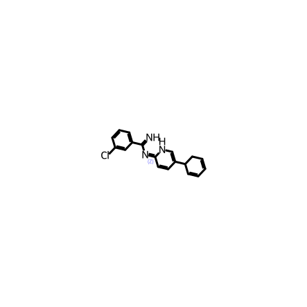 N=C(/N=c1/ccc(C2C=CC=CC2)c[nH]1)c1cccc(Cl)c1